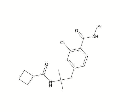 CC(C)NC(=O)c1ccc(CC(C)(C)NC(=O)C2CCC2)cc1Cl